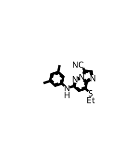 CCSc1cc(Nc2cc(C)cc(C)c2)nn2c(C#N)cnc12